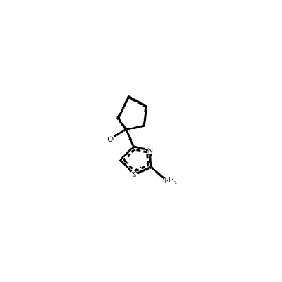 Nc1nc(C2([O])CCCC2)cs1